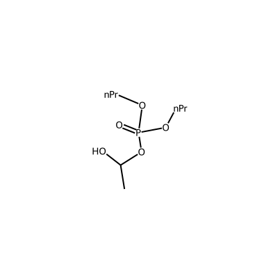 CCCOP(=O)(OCCC)OC(C)O